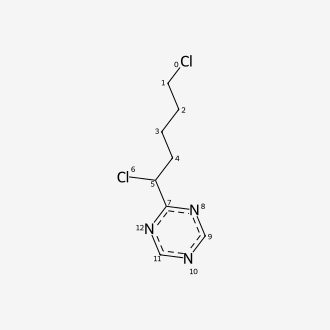 ClCCCCC(Cl)c1ncncn1